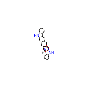 c1ccc2c(c1)NC1CC3C4c5cc6c(cc5C(c5cc7[nH]c8ccccc8c7cc54)C3C[C@H]21)[nH]c1ccccc16